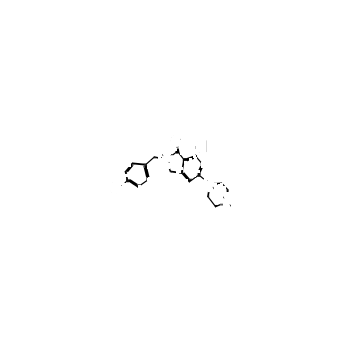 CN1CCN(c2cc(Cl)c3c(c2)CN(Cc2ccc(Cl)cc2)C3=O)CC1